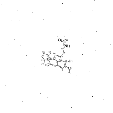 COc1ccc2c(c(CCNC(C)=O)cn2[Si](C(C)C)(C(C)C)C(C)C)c1I